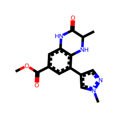 COC(=O)c1cc2c(c(-c3cnn(C)c3)c1)NC(C)C(=O)N2